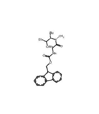 CCC(C)C(C(CC)OC)N(C)C(=O)CNC(=O)OCC1c2ccccc2-c2ccccc21